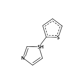 C1=C[SH](c2cccs2)C=N1